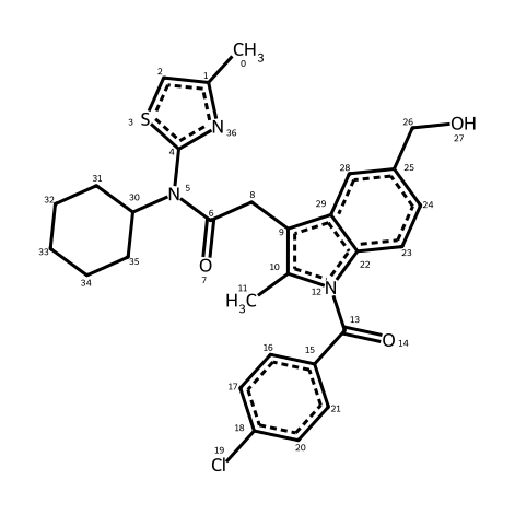 Cc1csc(N(C(=O)Cc2c(C)n(C(=O)c3ccc(Cl)cc3)c3ccc(CO)cc23)C2CCCCC2)n1